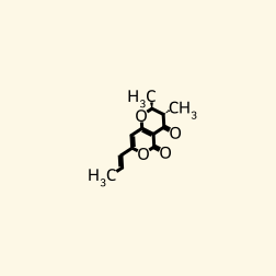 C/C=C/c1cc2c(c(=O)o1)C(=O)[C@@H](C)[C@H](C)O2